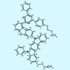 CCCCc1ccc(-c2nc(-c3ccccc3)nc(-c3cccc4sc5cc(-n6c7ccccc7c7cc8c9cc(CCCC)ccc9n(-c9ccccc9)c8cc76)ccc5c34)n2)cc1